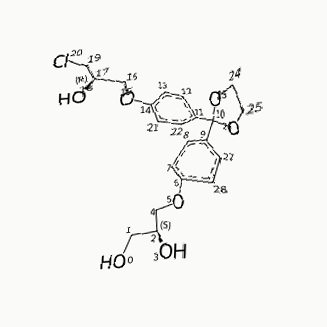 OC[C@H](O)COc1ccc(C2(c3ccc(OC[C@@H](O)CCl)cc3)OCCO2)cc1